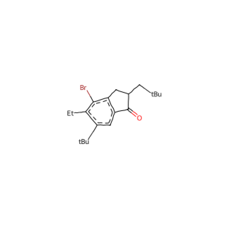 CCc1c(C(C)(C)C)cc2c(c1Br)CC(CC(C)(C)C)C2=O